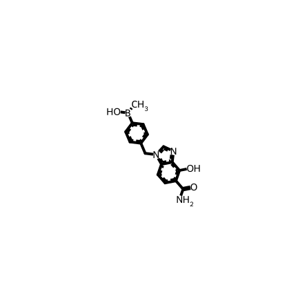 CB(O)c1ccc(Cn2cnc3c(O)c(C(N)=O)ccc32)cc1